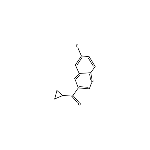 O=C(c1cnc2ccc(F)cc2c1)C1CC1